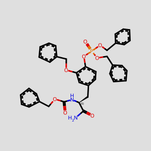 NC(=O)[C@H](Cc1ccc(OP(=O)(OCc2ccccc2)OCc2ccccc2)c(OCc2ccccc2)c1)NC(=O)OCc1ccccc1